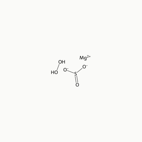 O=S([O-])[O-].OO.[Mg+2]